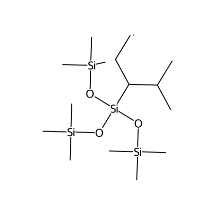 [CH2]CC(C(C)C)[Si](O[Si](C)(C)C)(O[Si](C)(C)C)O[Si](C)(C)C